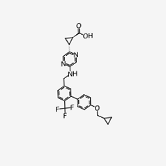 O=C(O)[C@@H]1C[C@H]1c1cnc(NCc2ccc(C(F)(F)F)c(-c3ccc(OCC4CC4)cc3)c2)cn1